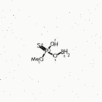 BOP(O)(=S)OC